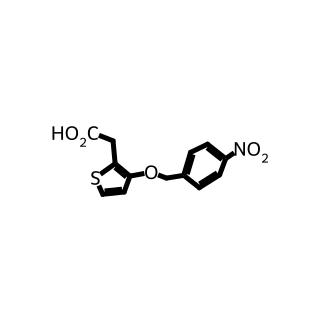 O=C(O)Cc1sccc1OCc1ccc([N+](=O)[O-])cc1